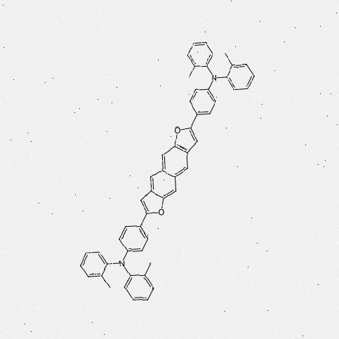 Cc1ccccc1N(c1ccc(-c2cc3cc4cc5oc(-c6ccc(N(c7ccccc7C)c7ccccc7C)cc6)cc5cc4cc3o2)cc1)c1ccccc1C